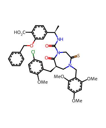 COc1cc(OC)c(CN2C[C@@H](Cc3cc(Cl)ccc3OC)C(=O)N(C(=O)N[C@H](C)c3ccc(C(=O)O)c(OCc4ccccc4)c3)CC2=S)c(OC)c1